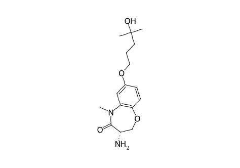 CN1C(=O)[C@@H](N)COc2ccc(OCCCC(C)(C)O)cc21